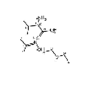 CC(C)=NO.CC(C)[C@H](N)C(=O)O.CCOCC